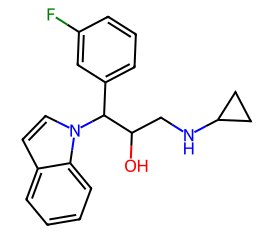 OC(CNC1CC1)C(c1cccc(F)c1)n1ccc2ccccc21